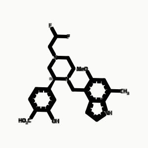 COc1cc(C)c2[nH]ccc2c1CN1CCN(CC(F)F)C[C@@H]1c1ccc(C(=O)O)c(O)c1